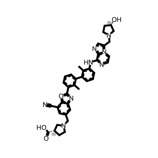 Cc1c(Nc2nccn3c(CN4CC[C@H](O)C4)cnc23)cccc1-c1cccc(-c2nc3cc(CN4CC[C@H](C(=O)O)C4)cc(C#N)c3o2)c1C